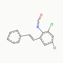 O=C=Nc1c(Cl)cc(Cl)cc1C=Cc1ccccc1